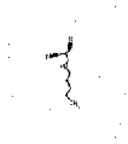 CCCCCNCC(C#N)C#N